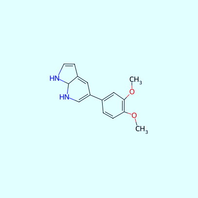 COc1ccc(C2=CNC3NC=CC3=C2)cc1OC